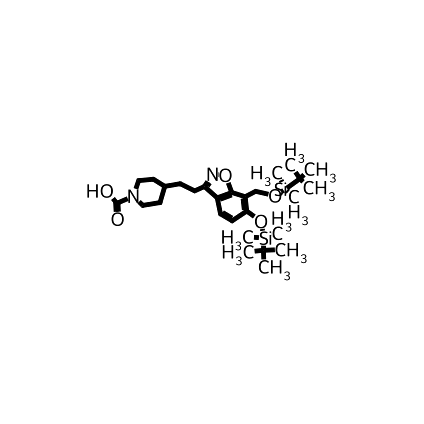 CC(C)(C)[Si](C)(C)OCc1c(O[Si](C)(C)C(C)(C)C)ccc2c(CCC3CCN(C(=O)O)CC3)noc12